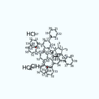 CC1=C(C)C(C)([Si](c2cc(-c3ccccc3)cc(-c3ccccc3)c2)(c2cc(-c3ccccc3)cc(-c3ccccc3)c2)c2cc(-c3ccccc3)cc(-c3ccccc3)c2)[C]([Ti])=C1C.Cl.Cl.Cl